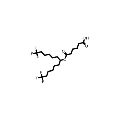 O=C(O)CCCCC(=O)OC(CCCCCC(F)(F)F)CCCCCC(F)(F)F